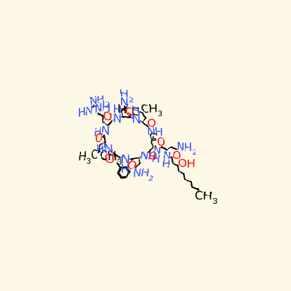 CCCCCCC[C@@H](O)CC(=O)N[C@H](CCN)C(=O)N[C@H]1CCNC(=O)[C@H](CC(C)C)NC(=O)[C@H](CCN)NC(=O)[C@H](CCCNC(=N)N)NC(=O)[C@H](CC(C)C)NC(=O)[C@@H](Cc2ccccc2)NC(=O)[C@H](CCN)NC1=O